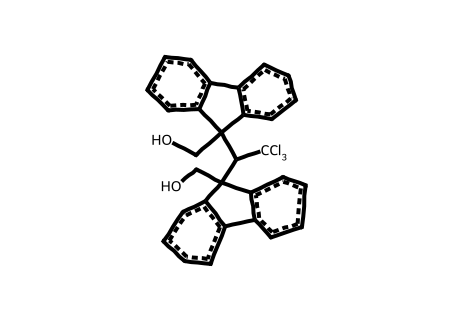 OCC1(C(C(Cl)(Cl)Cl)C2(CO)c3ccccc3-c3ccccc32)c2ccccc2-c2ccccc21